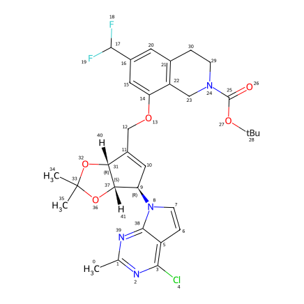 Cc1nc(Cl)c2ccn([C@@H]3C=C(COc4cc(C(F)F)cc5c4CN(C(=O)OC(C)(C)C)CC5)[C@H]4OC(C)(C)O[C@H]43)c2n1